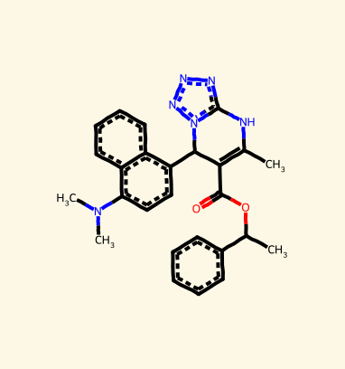 CC1=C(C(=O)OC(C)c2ccccc2)C(c2ccc(N(C)C)c3ccccc23)n2nnnc2N1